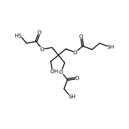 O=C(CS)OCC(CO)(COC(=O)CS)COC(=O)CCS